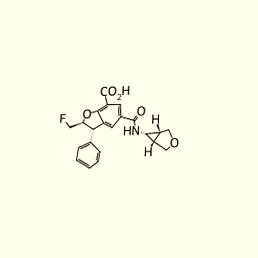 O=C(N[C@@H]1[C@@H]2COC[C@@H]21)c1cc(C(=O)O)c2c(c1)[C@H](c1ccccc1)[C@@H](CF)O2